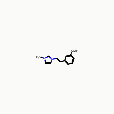 COc1cccc(CCN2C=CN(C)C2)c1